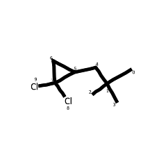 CC(C)(C)CC1CC1(Cl)Cl